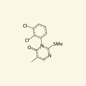 CSc1n[c]c(C)c(=O)n1-c1cccc(Cl)c1Cl